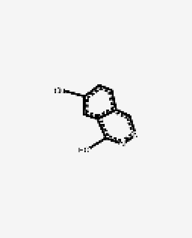 CC(C)(C)c1ccc2cnnc(O)c2c1